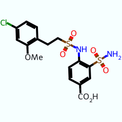 COc1cc(Cl)ccc1CCS(=O)(=O)Nc1ccc(C(=O)O)cc1S(N)(=O)=O